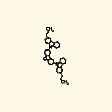 C=CCc1ccc2c(c1)c1ccccc1n2-c1ccc2oc3ccc(-n4c5ccccc5c5cc(CC=C)ccc54)cc3c2c1